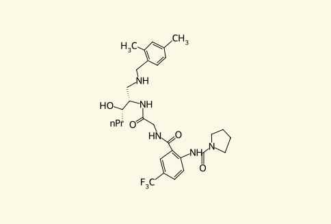 CCC[C@H](O)[C@H](CNCc1ccc(C)cc1C)NC(=O)CNC(=O)c1cc(C(F)(F)F)ccc1NC(=O)N1CCCC1